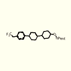 CCCCCOC1CCC(C2CCC(c3ccc(CC(F)(F)F)cc3)CC2)CC1